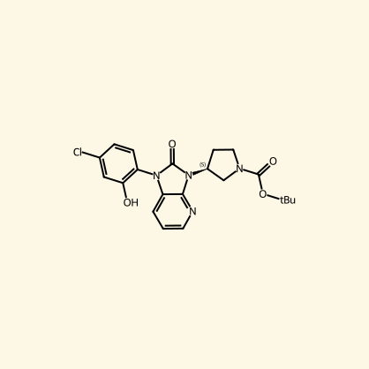 CC(C)(C)OC(=O)N1CC[C@H](n2c(=O)n(-c3ccc(Cl)cc3O)c3cccnc32)C1